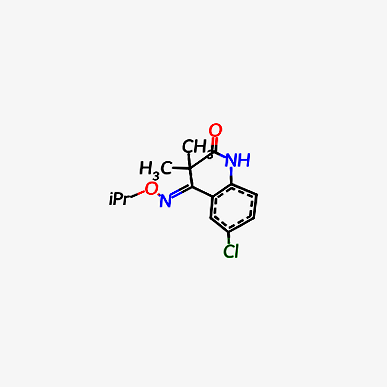 CC(C)ON=C1c2cc(Cl)ccc2NC(=O)C1(C)C